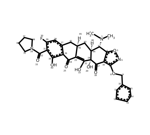 CN(C)[C@@H]1c2onc(OCc3ccccc3)c2C(=O)[C@@]2(O)C(O)=C3C(=O)c4c(cc(F)c(C(=O)N5CCCC5)c4O)C[C@H]3C[C@@H]12